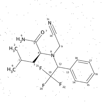 CC(C)C[C@@H](C(N)=O)N(CC#N)C(c1ccccc1)C(F)(F)F